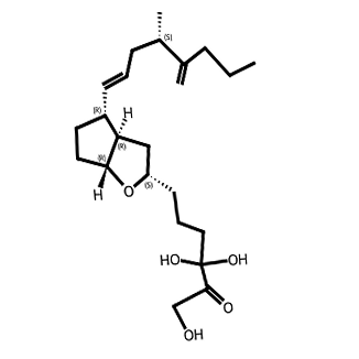 C=C(CCC)[C@@H](C)CC=C[C@H]1CC[C@H]2O[C@@H](CCCC(O)(O)C(=O)CO)C[C@H]12